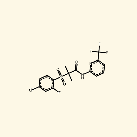 CC(C)(C(=O)Nc1cccc(C(F)(F)F)n1)S(=O)(=O)c1ccc(Cl)cc1F